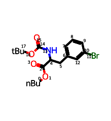 CCCCOC(=O)C(Cc1cccc(Br)c1)NC(=O)OC(C)(C)C